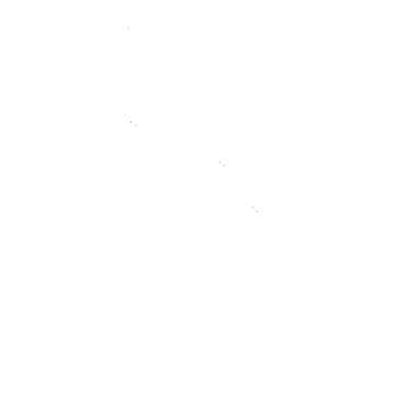 CCn1cc(C(=O)O)c(=O)c2cc(F)c(N3CCN(CC(=O)c4ccc(OC)cc4)CC3)c(F)c21